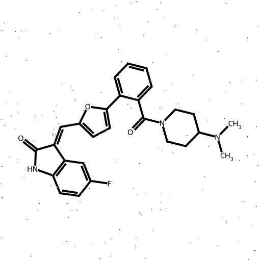 CN(C)C1CCN(C(=O)c2ccccc2-c2ccc(/C=C3/C(=O)Nc4ccc(F)cc43)o2)CC1